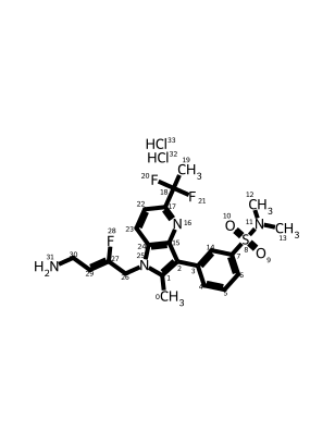 Cc1c(-c2cccc(S(=O)(=O)N(C)C)c2)c2nc(C(C)(F)F)ccc2n1C/C(F)=C/CN.Cl.Cl